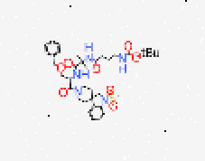 CC(C)(C)OC(=O)NCCCC(=O)NC(C)(C)C(=O)N[C@H](COCc1ccccc1)C(=O)N1CCC2(CC1)CN(S(C)(=O)=O)c1ccccc12